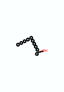 C1CCCCC1.C1CCCCC1.C1CCCCC1.C1CCCCC1.C1CCCCC1.C1CCCCC1.C1CCCCC1.C1CCCCC1.C1CCCCC1.OCCCCC1CCCCC1